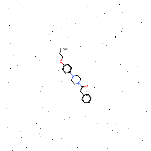 COCCOc1ccc(N2CCN(C(=O)Cc3ccccc3)CC2)cc1